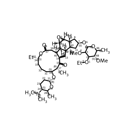 CCOC1C(OC)[C@H](O[C@@H]2C[C@@H]3[C@@H](C2)[C@@H]2C=C4C(=O)[C@H](C)[C@@H](O[C@H]5CC[C@H](N(C)C)C(C)O5)CCC[C@H](CC)OC(=O)C[C@H]4[C@@H]2[C@@H]2O[C@H]32)OC(C)[C@@H]1OC